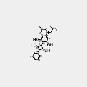 CC(C)CN(CC(C)C)c1cc(O)c(C2C(O)C(c3ccccc3)C2O)c(O)c1